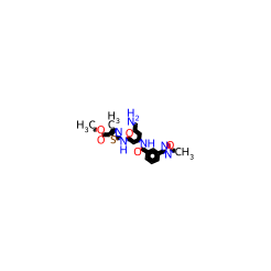 CCOC(=O)c1sc(NC(=O)CC(CCCN)NC(=O)c2cccc(-c3noc(C)n3)c2)nc1C